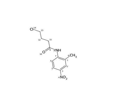 Cc1cc([N+](=O)[O-])ccc1NC(=O)CCCCl